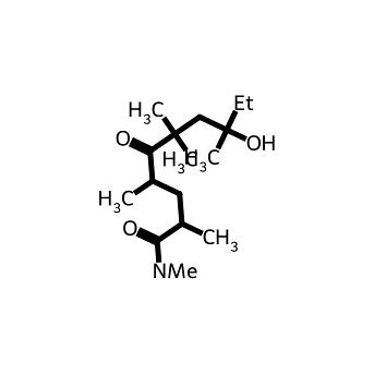 CCC(C)(O)CC(C)(C)C(=O)C(C)CC(C)C(=O)NC